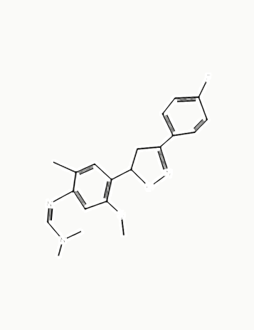 COc1cc(/N=C\N(C)C)c(C)cc1C1CC(c2ccc(F)cc2)=NO1